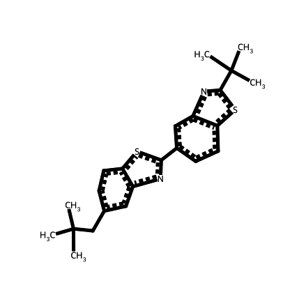 CC(C)(C)Cc1ccc2sc(-c3ccc4sc(C(C)(C)C)nc4c3)nc2c1